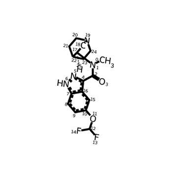 CN(C(=O)c1n[nH]c2ccc(OC(F)F)cc12)[C@@H]1CN2CCC1CC2